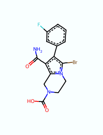 NC(=O)c1c(-c2cccc(F)c2)c(Br)n2c1CN(C(=O)O)CC2